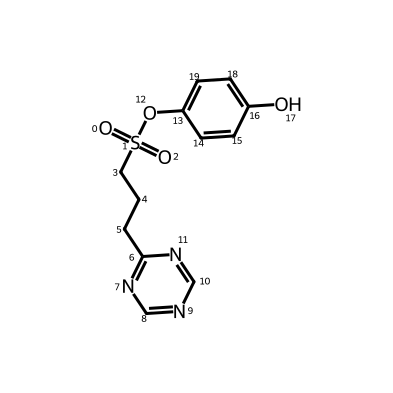 O=S(=O)(CCCc1ncncn1)Oc1ccc(O)cc1